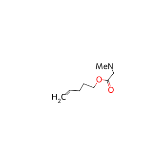 C=CCCCOC(=O)CNC